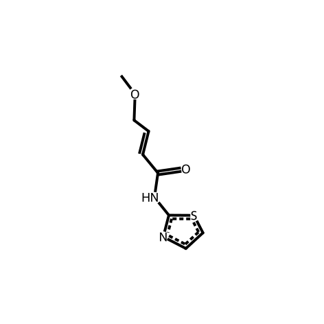 COC/C=C/C(=O)Nc1nccs1